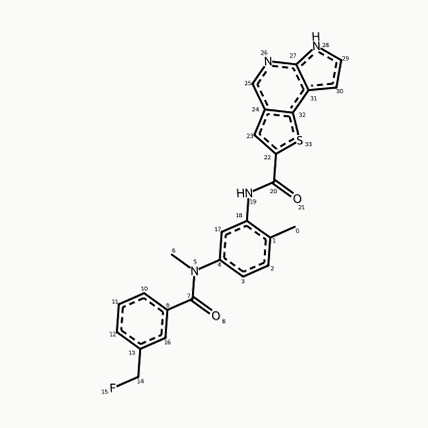 Cc1ccc(N(C)C(=O)c2cccc(CF)c2)cc1NC(=O)c1cc2cnc3[nH]ccc3c2s1